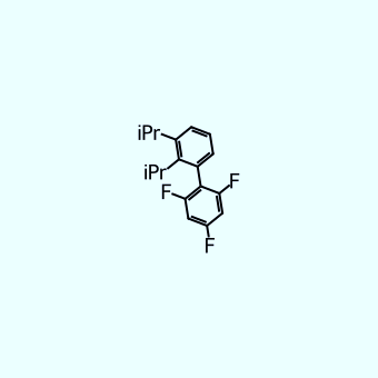 CC(C)c1cccc(-c2c(F)cc(F)cc2F)c1C(C)C